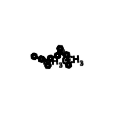 CC(C)(c1ccccc1)c1cccc(-n2c3ccccc3c3cc(-c4ccc5c(c4)c4ccccc4n5-c4ccc(-c5ccccc5)cc4)ccc32)c1